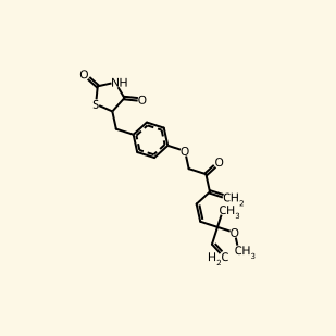 C=CC(C)(/C=C\C(=C)C(=O)COc1ccc(CC2SC(=O)NC2=O)cc1)OC